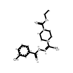 CCOC(=O)N1CCN(/C(N)=N\OC(=O)c2cccc(Cl)c2)CC1